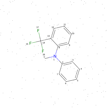 CN(c1ccccc1)c1ccccc1C(F)(F)F